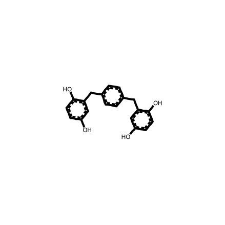 Oc1ccc(O)c(Cc2ccc(Cc3cc(O)ccc3O)cc2)c1